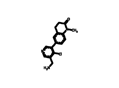 CN1C(=O)CCc2cc(-c3cncc(CN)c3Cl)ccc21